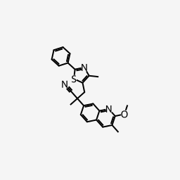 COc1nc2cc(C(C)(C#N)Cc3sc(-c4ccccc4)nc3C)ccc2cc1C